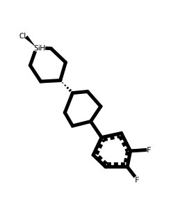 Fc1ccc(C2CCC([C@H]3CC[Si@H](Cl)CC3)CC2)cc1F